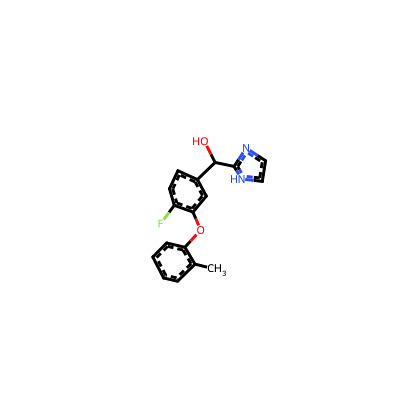 Cc1ccccc1Oc1cc(C(O)c2ncc[nH]2)ccc1F